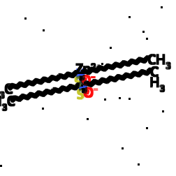 CCCCCCCCCCCCCCCCCCN(CCCCCCCCCCCCCCCCCC)C([O-])=S.CCCCCCCCCCCCCCCCCCN(CCCCCCCCCCCCCCCCCC)C([O-])=S.[Zn+2]